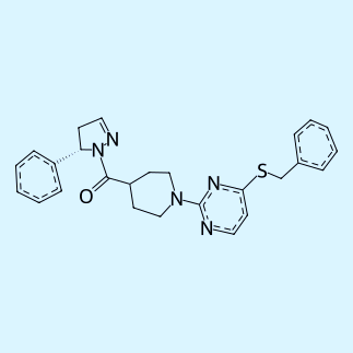 O=C(C1CCN(c2nccc(SCc3ccccc3)n2)CC1)N1N=CC[C@H]1c1ccccc1